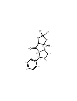 O=C1C2CC(F)(F)C[C@@H]2C2CO[C@@H](c3ccccc3)N12